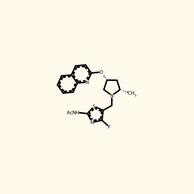 CC(=O)Nc1nc(F)c(CN2C[C@H](Oc3ccc4ccccc4n3)C[C@@H]2C)s1